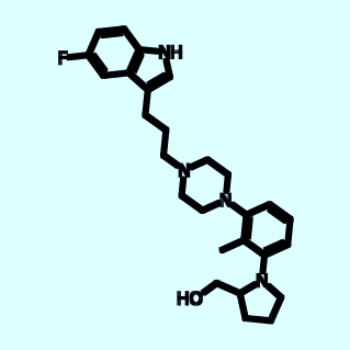 Cc1c(N2CCN(CCCc3c[nH]c4ccc(F)cc34)CC2)cccc1N1CCCC1CO